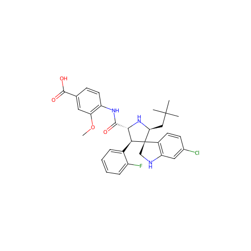 COc1cc(C(=O)O)ccc1NC(=O)[C@@H]1N[C@@H](CC(C)(C)C)[C@@]2(CNc3cc(Cl)ccc32)[C@H]1c1ccccc1F